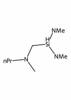 CCCN(C)C[SiH](NC)NC